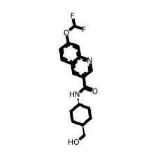 O=C(N[C@H]1CC[C@H](CO)CC1)c1cnc2cc(OC(F)F)ccc2c1